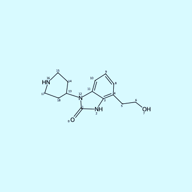 O=c1[nH]c2c(CCO)cccc2n1C1CCNCC1